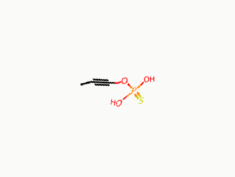 CC#COP(O)(O)=S